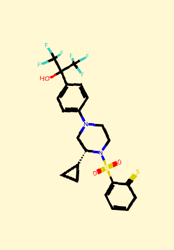 O=S(=O)(C1=CC=CCC1=S)N1CCN(c2ccc(C(O)(C(F)(F)F)C(F)(F)F)cc2)C[C@H]1C1CC1